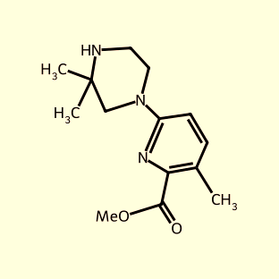 COC(=O)c1nc(N2CCNC(C)(C)C2)ccc1C